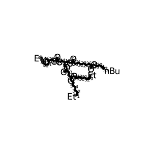 CC/C=C\CCCCOC(CCC(=O)OCC(COC(=O)CCCCCCC(=O)OCCC#CCCCC)COC(=O)OCC1CCCN(CC)C1)OCCCC/C=C\CC